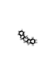 c1ccc2c3c(sc2c1)Sc1sc2ccccc2c1S3